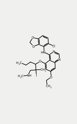 CCCC(Oc1cc(OCC)cc2ncnc(Nc3c(Cl)ccc4c3OCO4)c12)C(C)(I)CNC